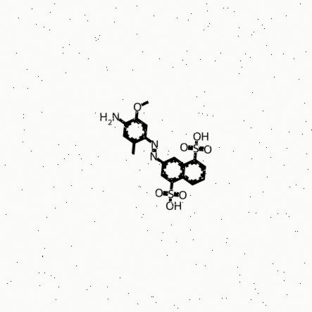 COc1cc(N=Nc2cc(S(=O)(=O)O)c3cccc(S(=O)(=O)O)c3c2)c(C)cc1N